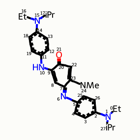 CCN(c1ccc(/N=C2/C=C(Nc3ccc(N(CC)C(C)C)cc3)C(=O)C=C2NC)cc1)C(C)C